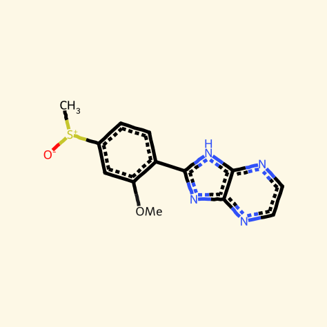 COc1cc([S+](C)[O-])ccc1-c1nc2nccnc2[nH]1